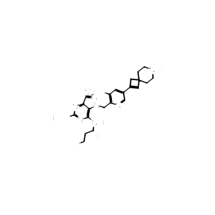 CCC[C@@H](CCO)Nc1nc(C)nc2cnn(Cc3ncc(C4=CC5(CCNCC5)C4)cc3OC)c12